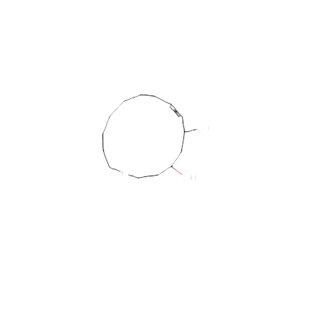 CC1C=CCCCCCCCCCCC(O)C1